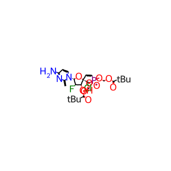 C=C1N=C(N)C=CN1[C@@H]1O[C@@](/C=C\P(=O)(OCOC(=O)C(C)(C)C)OCOC(=O)C(C)(C)C)(CCl)[C@@H](O)[C@H]1F